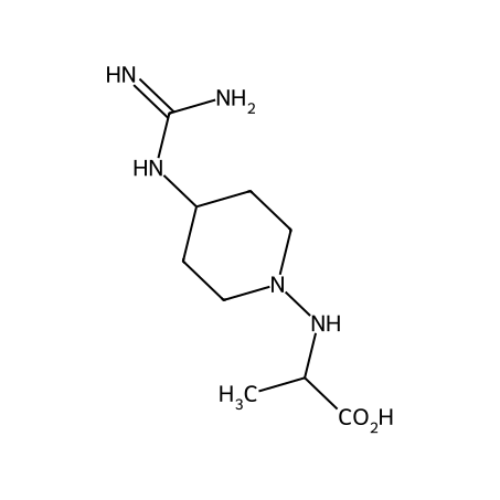 CC(NN1CCC(NC(=N)N)CC1)C(=O)O